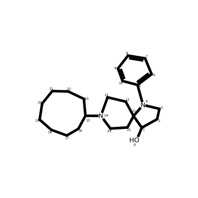 OC1CCN(c2ccccc2)C12CCN(C1CCCCCCCC1)CC2